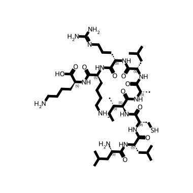 CC[C@H](C)[C@H](NC(=O)[C@H](CS)NC(=O)[C@H](CC(C)C)NC(=O)[C@@H](N)CC(C)C)C(=O)N[C@@H](C)C(=O)N[C@@H](CC(C)C)C(=O)N[C@@H](CCCN=C(N)N)C(=O)N[C@@H](CCCCN)C(=O)N[C@@H](CCCCN)C(=O)O